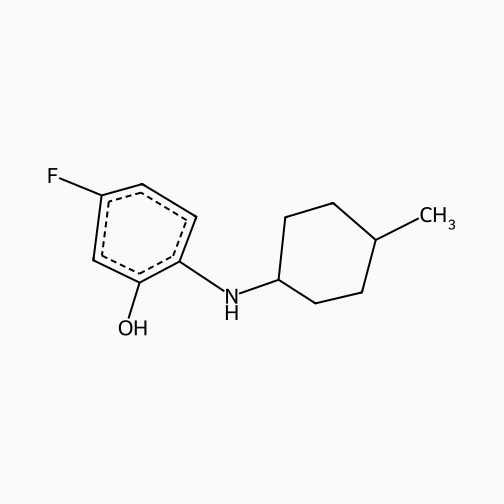 CC1CCC(Nc2ccc(F)cc2O)CC1